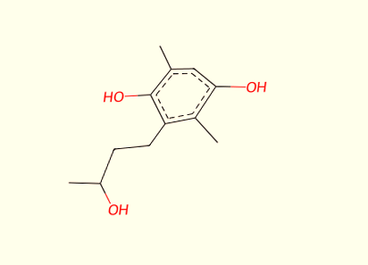 Cc1cc(O)c(C)c(CCC(C)O)c1O